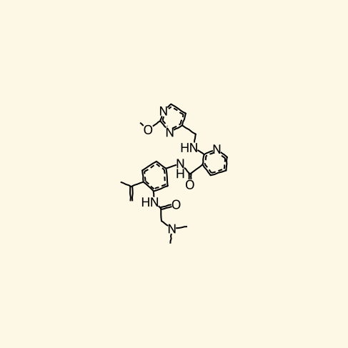 C=C(C)c1ccc(NC(=O)c2cccnc2NCc2ccnc(OC)n2)cc1NC(=O)CN(C)C